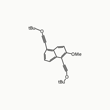 COc1ccc2c(C#COC(C)(C)C)cccc2c1C#COC(C)(C)C